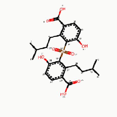 CC(C)CCc1c(C(=O)O)ccc(O)c1S(=O)(=O)c1c(O)ccc(C(=O)O)c1CCC(C)C